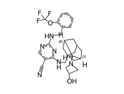 N#Cc1cnc(NCc2ccccc2OC(F)(F)F)nc1NCC12CC3C[C@H](C1)[C@H](N1CC(O)C1)[C@@H](C3)C2